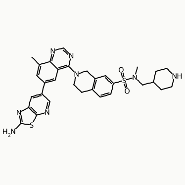 Cc1cc(-c2cnc3sc(N)nc3c2)cc2c(N3CCc4ccc(S(=O)(=O)N(C)CC5CCNCC5)cc4C3)ncnc12